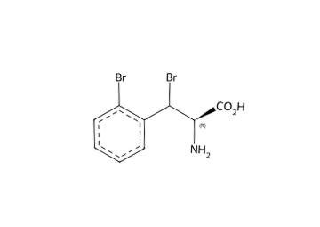 N[C@H](C(=O)O)C(Br)c1ccccc1Br